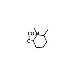 CC1CCCCC1C.O=C(O)O